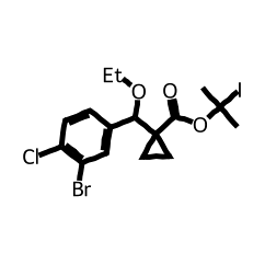 CCOC(c1ccc(Cl)c(Br)c1)C1(C(=O)OC(C)(C)I)CC1